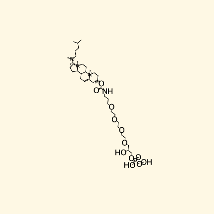 CC(C)CCC[C@H](C)[C@@H]1CCC2C3CC=C4C[C@H](OC(=O)NCCCOCCOCCOCCOCC(O)COP(=O)(O)OO)CC[C@@]4(C)C3CC[C@]21C